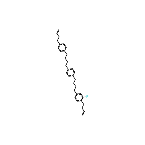 C=CCCc1ccc(CCCCc2ccc(CCCCc3ccc(CCC=C)c(F)c3)cc2)cc1